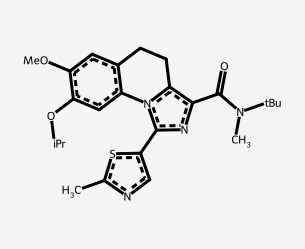 COc1cc2c(cc1OC(C)C)-n1c(-c3cnc(C)s3)nc(C(=O)N(C)C(C)(C)C)c1CC2